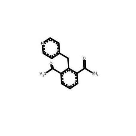 NC(=O)c1cccc(C(N)=O)c1Cc1ccncc1